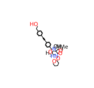 CNC(=O)C(C)(C(=O)NOC1CCCCO1)N(C)C(=O)c1ccc(C#Cc2ccc(CCO)cc2)cc1